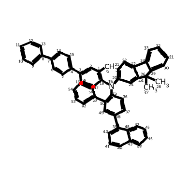 Cc1cc(-c2ccc(-c3ccccc3)cc2)ccc1N(c1ccc2c(c1)C(C)(C)c1ccccc1-2)c1ccc(-c2cccc3ccccc23)cc1-c1ccccc1